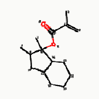 C=C(C)C(=O)OC1(C)C(C)CC2CCCCC21